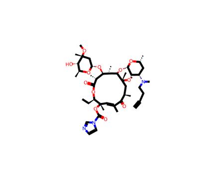 C#CCCN(C)[C@@H]1C[C@H](O[C@@H]2[C@@H](C)[C@H](O[C@H]3C[C@@](C)(OC)[C@@H](O)[C@H](C)O3)[C@@H](C)C(=O)O[C@H](CC)[C@@](C)(OC(=O)n3ccnc3)/C=C(\C)C(=O)[C@H](C)C[C@@]2(C)OC)O[C@H](C)C1